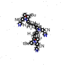 Cc1cc(C#N)c(-c2ccncc2)cc1-n1c2ccc(C(C)(C)CCC(C)(C)c3ccc4c(c3)c3cc(C(C)(C)C)ccc3n4-c3cc(-c4ccncc4)c(C#N)cc3-c3ccccc3)cc2c2cc(C(C)(C)Cc3ccc4c(c3)c3cc(C(C)(C)C)ccc3n4-c3cc(-c4ccncc4)c(C#N)cc3-c3ccccc3)ccc21